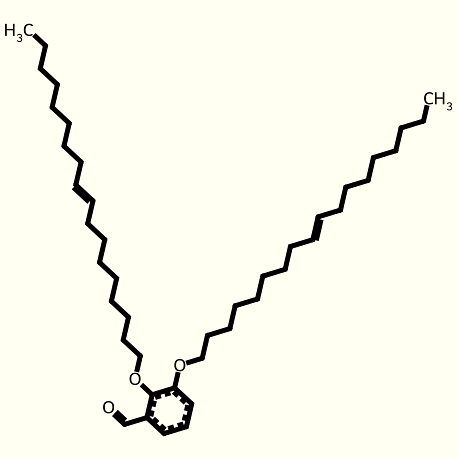 CCCCCCCCC=CCCCCCCCCOc1cccc(C=O)c1OCCCCCCCCC=CCCCCCCCC